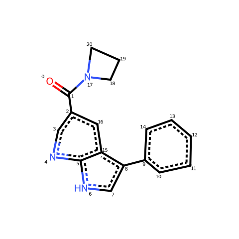 O=C(c1cnc2[nH]cc(-c3ccccc3)c2c1)N1CCC1